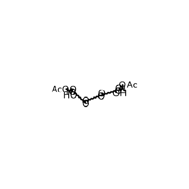 CC(=O)OCCN(C)CC(=O)OCC(O)CCCCCCCCC(=O)OCCCCCCCCCCOC(=O)CCCCCCCCC(O)COC(=O)CN(C)CCOC(C)=O